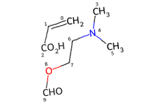 C=CC(=O)O.CN(C)CCOC=O